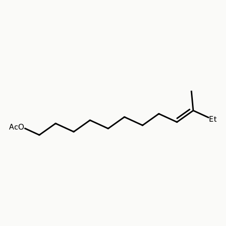 CCC(C)=CCCCCCCCCOC(C)=O